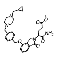 COC(=O)CCC(C(N)=O)N1Cc2c(OCc3ccc(CN4CCN(CC5CC5)CC4)cc3)cccc2C1=O